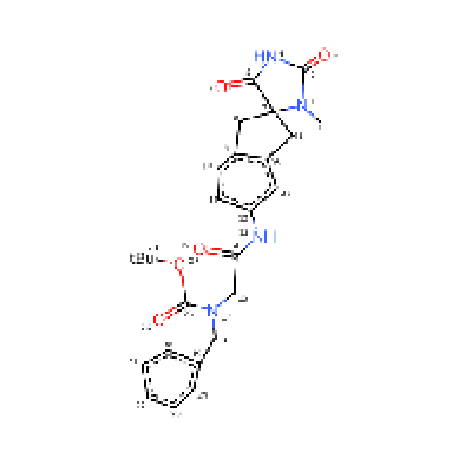 CN1C(=O)NC(=O)C12Cc1ccc(NC(=O)CN(Cc3ccccc3)C(=O)OC(C)(C)C)cc1C2